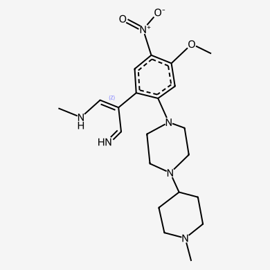 CN/C=C(\C=N)c1cc([N+](=O)[O-])c(OC)cc1N1CCN(C2CCN(C)CC2)CC1